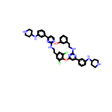 Oc1cccc(CCNc2nc(Oc3c(Cl)cc(CCNc4nccc(-c5cccc(NC6CCNCC6)c5)n4)cc3Cl)cc(-c3cccc(NC4CCNCC4)c3)n2)c1